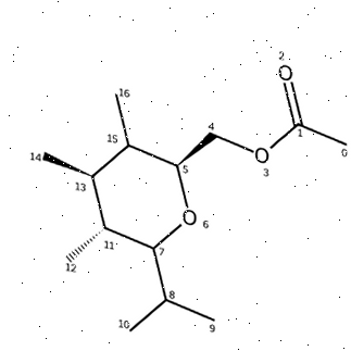 CC(=O)OC[C@H]1OC(C(C)C)[C@H](C)[C@@H](C)C1C